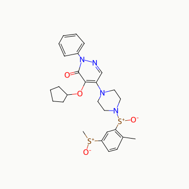 Cc1ccc([S+](C)[O-])cc1[S+]([O-])N1CCN(c2cnn(-c3ccccc3)c(=O)c2OC2CCCC2)CC1